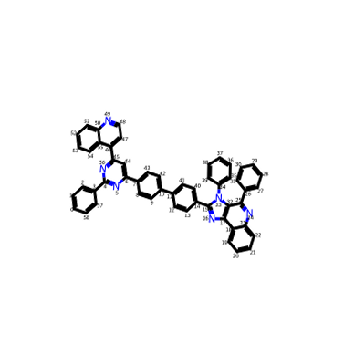 c1ccc(-c2nc(-c3ccc(-c4ccc(-c5nc6c7ccccc7nc(-c7ccccc7)c6n5-c5ccccc5)cc4)cc3)cc(-c3ccnc4ccccc34)n2)cc1